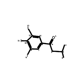 CC(C)CC(=O)c1cc(I)c(I)c(I)c1